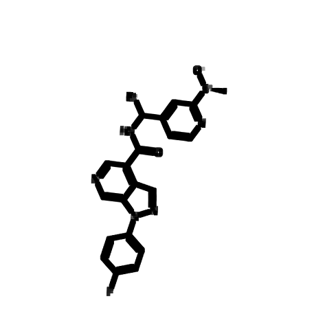 CCC(NC(=O)c1cncc2c1cnn2-c1ccc(F)cc1)c1ccnc([S@+](C)[O-])c1